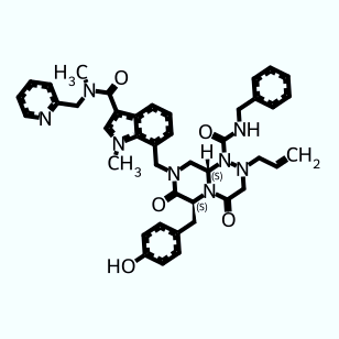 C=CCN1CC(=O)N2[C@@H](Cc3ccc(O)cc3)C(=O)N(Cc3cccc4c(C(=O)N(C)Cc5ccccn5)cn(C)c34)C[C@@H]2N1C(=O)NCc1ccccc1